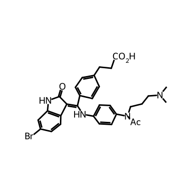 CC(=O)N(CCCN(C)C)c1ccc(NC(=C2C(=O)Nc3cc(Br)ccc32)c2ccc(CCC(=O)O)cc2)cc1